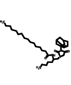 CCCCCCCCCCCCCCCC(=O)NC(CCCCN)CN1CC(=O)N(C23CC4CC(CC(C4)C2)C3)C1=O